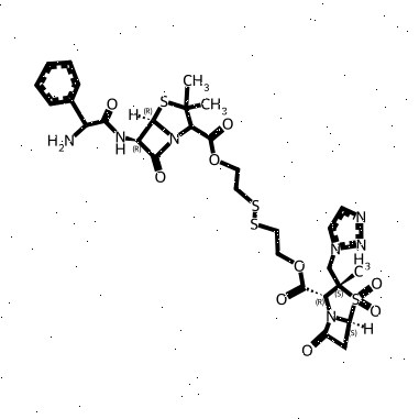 CC1(C)S[C@@H]2[C@H](NC(=O)C(N)c3ccccc3)C(=O)N2C1C(=O)OCCSSCCOC(=O)[C@H]1N2C(=O)C[C@@H]2S(=O)(=O)[C@@]1(C)Cn1ccnn1